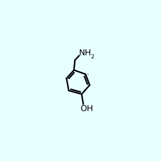 NCc1[c]cc(O)cc1